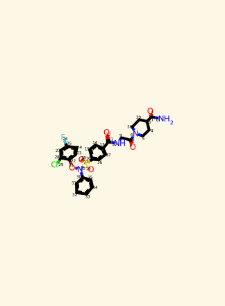 NC(=O)C1CCN(C(=O)CNC(=O)c2ccc(S(=O)(=O)N(Oc3ccc(F)cc3Cl)c3ccccc3)cc2)CC1